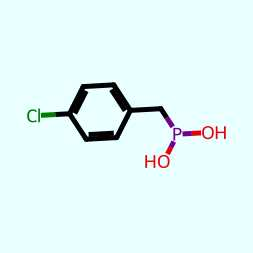 OP(O)Cc1ccc(Cl)cc1